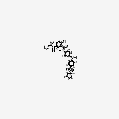 CC(=O)Nc1ccc(Cl)c(C(=O)Nc2cnc(Nc3ccc(S(=O)(=O)C4CCCCC4)cc3)nc2)c1